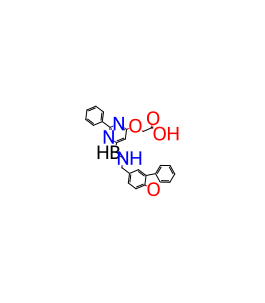 O=C(O)COc1cc(BNCc2ccc3oc4ccccc4c3c2)nc(-c2ccccc2)n1